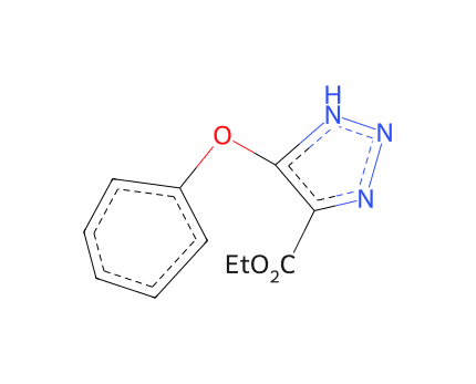 CCOC(=O)c1nn[nH]c1Oc1ccccc1